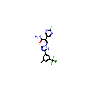 Cc1cc(-c2ncn(/C=C(\C(N)=O)c3cnc(F)nc3)n2)cc(C(F)(F)F)c1